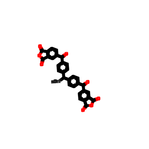 CCCCCCCCC(c1ccc(C(=O)c2ccc3c(c2)C(=O)OC3=O)cc1)c1ccc(C(=O)c2ccc3c(c2)C(=O)OC3=O)cc1